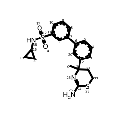 CC1(c2cccc(-c3cccc(S(=O)(=O)NC4CC4)c3)c2)CCSC(N)=N1